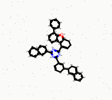 C1=CC(c2nc(C3=CCCc4oc5c(-c6ccccc6)cccc5c43)nc(-c3ccc4ccccc4c3)n2)=CC(C2C=c3ccccc3=CC2)C1